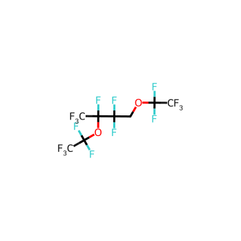 FC(F)(F)C(F)(F)OCC(F)(F)C(F)(OC(F)(F)C(F)(F)F)C(F)(F)F